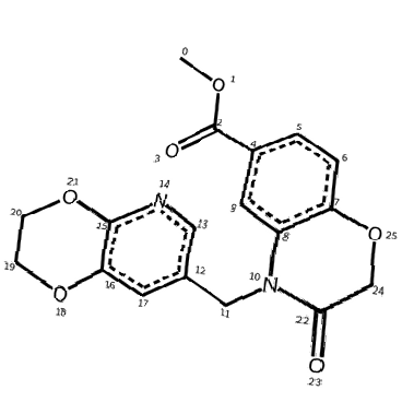 COC(=O)c1ccc2c(c1)N(Cc1cnc3c(c1)OCCO3)C(=O)CO2